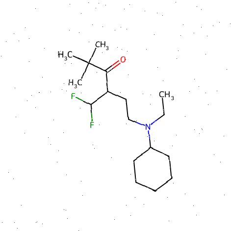 CCN(CCC(C(=O)C(C)(C)C)C(F)F)C1CCCCC1